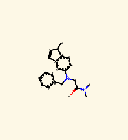 CC1C=Cc2cc(N(CC(=O)N(C)C)Cc3ccccc3)ccc21